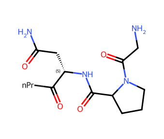 CCCC(=O)[C@H](CC(N)=O)NC(=O)C1CCCN1C(=O)CN